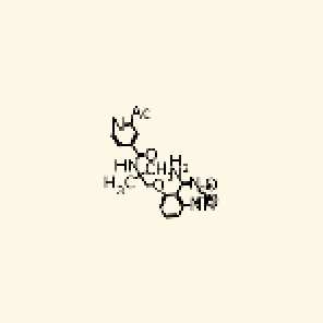 CC(=O)c1cc(C(=O)NC(C)(C)COc2cccc3c2C(N)=NS(=O)(=O)N3)ccn1